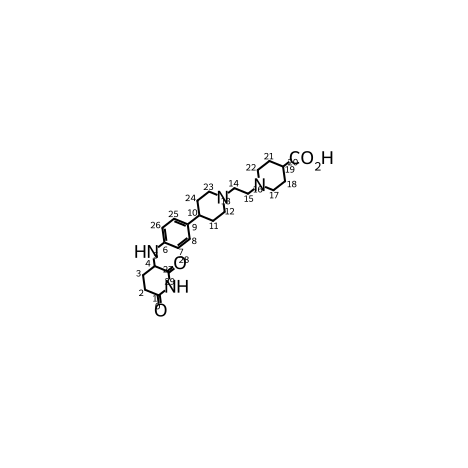 O=C1CCC(Nc2ccc(C3CCN(CCN4CCC(C(=O)O)CC4)CC3)cc2)C(=O)N1